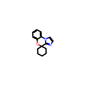 c1ccc2c(c1)OC1(CCCCC1)c1nccn1-2